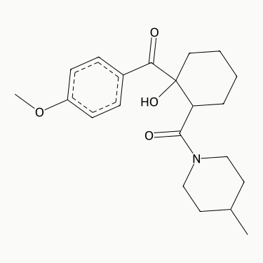 COc1ccc(C(=O)C2(O)CCCCC2C(=O)N2CCC(C)CC2)cc1